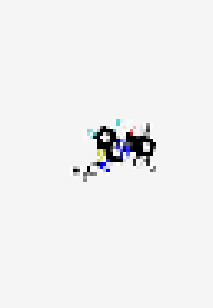 Cc1nc(Cn2c3c(c(=O)n2-c2ccc(F)cc2F)[C@H]2CC[C@]3(C)C2(C)C)cs1